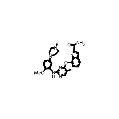 COc1ccc(N2CCN(C)CC2)cc1Nc1ncc(C)c(Oc2cccc3cc(C(N)=O)sc23)n1